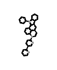 C1=CN(c2ccc(-c3ccccn3)cn2)c2cccc3c2c1cc1c2ccccc2n(-c2ccccc2)c31